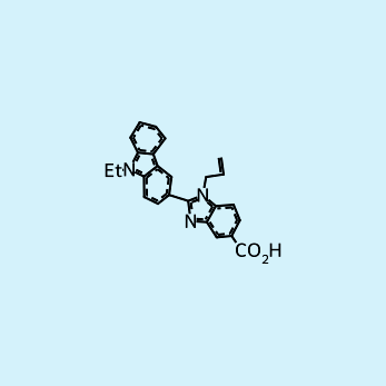 C=CCn1c(-c2ccc3c(c2)c2ccccc2n3CC)nc2cc(C(=O)O)ccc21